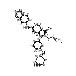 C=CCn1c(=O)c2cnc(Nc3ccc4ncsc4c3)nc2n1-c1cccc(OC2CCNCC2)n1